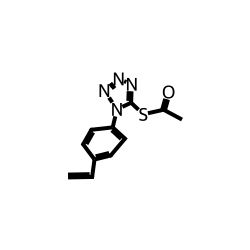 C=Cc1ccc(-n2nnnc2SC(C)=O)cc1